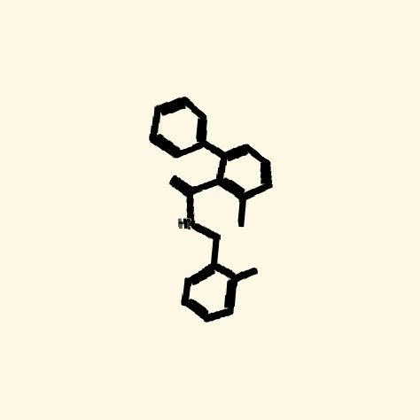 C=C(NCc1ccccc1C)c1c(C)cccc1-c1ccccc1